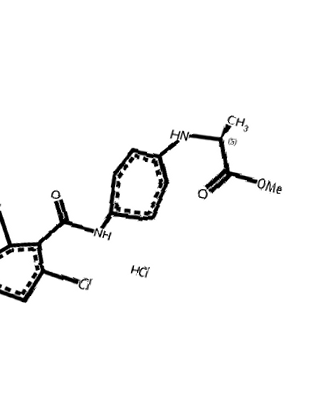 COC(=O)[C@H](C)Nc1ccc(NC(=O)c2c(Cl)cccc2Cl)cc1.Cl